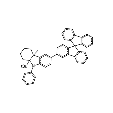 CC(C)(C)C12CCCCC1(C)c1cc(-c3ccc4c(c3)-c3ccccc3C43c4ccccc4-c4ccccc43)ccc1N2c1ccccc1